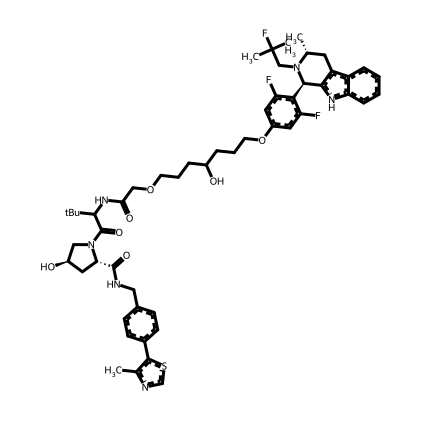 Cc1ncsc1-c1ccc(CNC(=O)[C@@H]2C[C@@H](O)CN2C(=O)C(NC(=O)COCCCC(O)CCCOc2cc(F)c([C@@H]3c4[nH]c5ccccc5c4C[C@@H](C)N3CC(C)(C)F)c(F)c2)C(C)(C)C)cc1